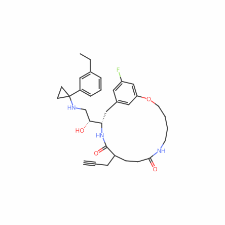 C#CCC1CCC(=O)NCCCCOc2cc(F)cc(c2)C[C@@H]([C@H](O)CNC2(c3cccc(CC)c3)CC2)NC1=O